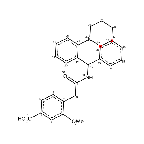 COc1cc(C(=O)O)ccc1CC(=O)NC(c1ccccc1)c1ccccc1N1CCCCC1